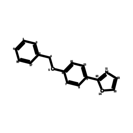 c1ccc(COc2ccc(-c3ncco3)cc2)cc1